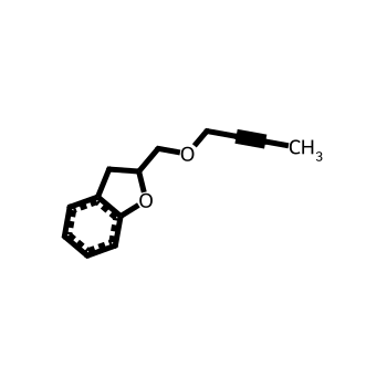 CC#CCOCC1Cc2ccccc2O1